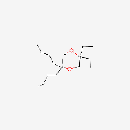 CCCCC1(CCCC)COC(CC)(CC)CO1